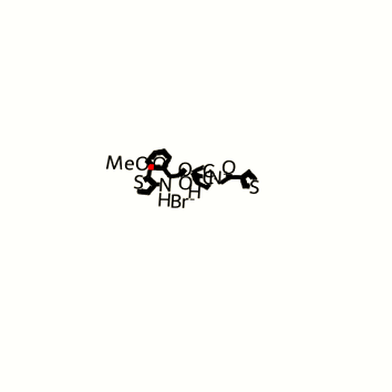 COC(=O)c1sccc1NC(C(=O)O[C@H]1C[N+]2(CC(=O)c3ccsc3)CCC1CC2)c1ccccc1.[Br-]